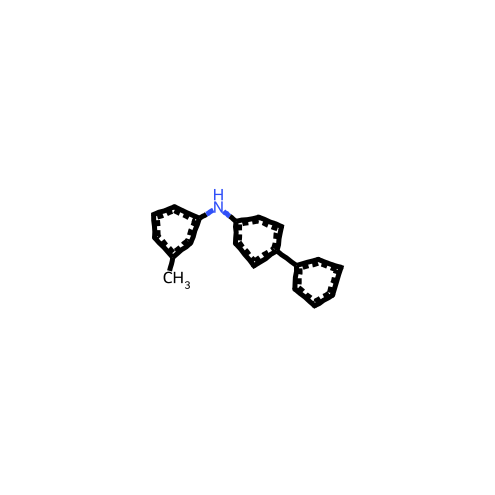 Cc1cccc(Nc2ccc(-c3ccccc3)cc2)c1